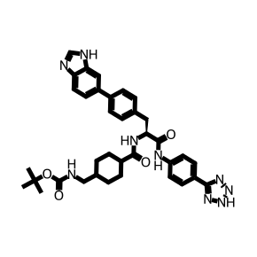 CC(C)(C)OC(=O)NCC1CCC(C(=O)N[C@@H](Cc2ccc(-c3ccc4nc[nH]c4c3)cc2)C(=O)Nc2ccc(-c3nn[nH]n3)cc2)CC1